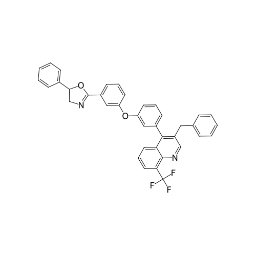 FC(F)(F)c1cccc2c(-c3cccc(Oc4cccc(C5=NCC(c6ccccc6)O5)c4)c3)c(Cc3ccccc3)cnc12